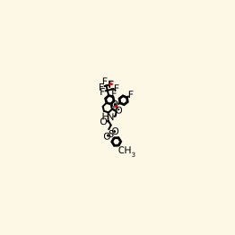 Cc1ccc(S(=O)(=O)CCC(=O)N2CC[C@@]3(S(=O)(=O)c4ccc(F)cc4)c4ccc(C(F)(C(F)(F)F)C(F)(F)F)cc4CC[C@@H]23)cc1